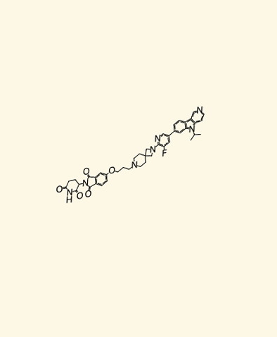 CC(C)n1c2ccncc2c2ccc(-c3cnc(N4CC5(CCN(CCCOc6ccc7c(c6)C(=O)N(C6CCC(=O)NC6=O)C7=O)CC5)C4)c(F)c3)cc21